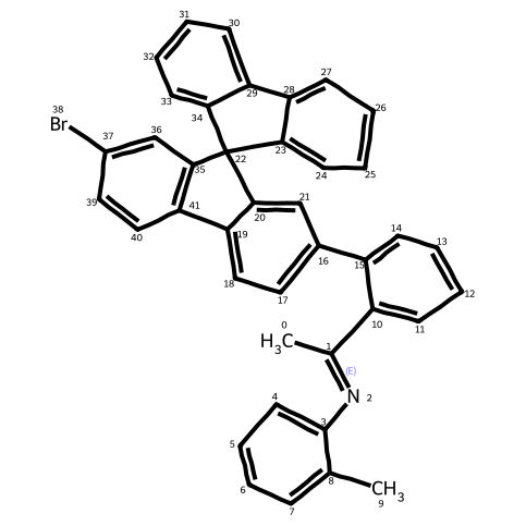 C/C(=N\c1ccccc1C)c1ccccc1-c1ccc2c(c1)C1(c3ccccc3-c3ccccc31)c1cc(Br)ccc1-2